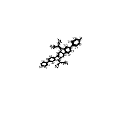 N#CC(C#N)=C1C2=CC3c4ccc(-c5ccc(F)cc5)cc4C(=C(C#N)C#N)C3C=C2c2ccc(-c3ccc(F)cc3)cc21